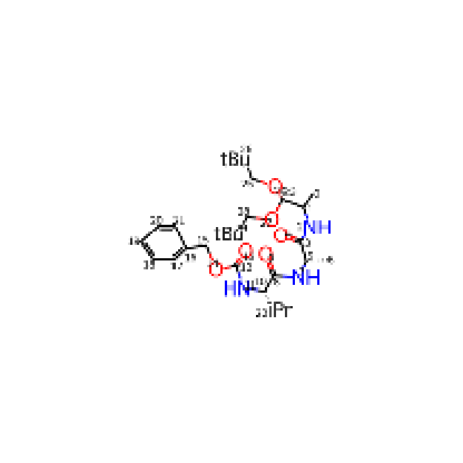 CC(NC(=O)[C@H](C)NC(=O)[C@@H](NC(=O)OCc1ccccc1)C(C)C)C(OCC(C)(C)C)OCC(C)(C)C